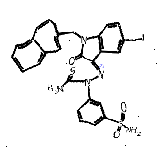 NC(=S)N(/N=C1\C(=O)N(Cc2ccc3ccccc3c2)c2ccc(I)cc21)c1cccc(S(N)(=O)=O)c1